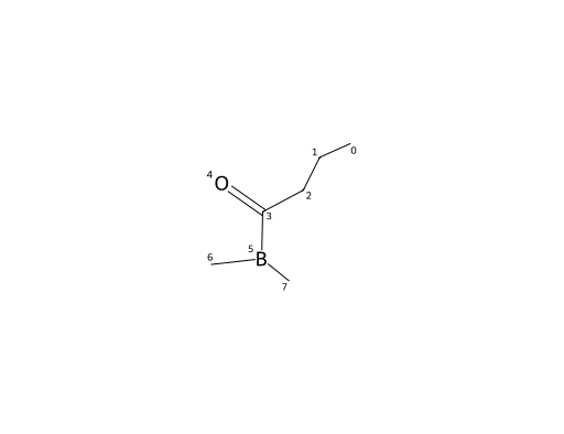 CCCC(=O)B(C)C